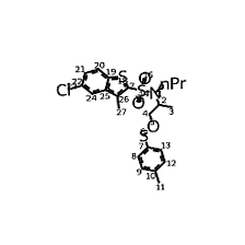 CCCN(C(C)COSc1ccc(C)cc1)S(=O)(=O)c1sc2ccc(Cl)cc2c1C